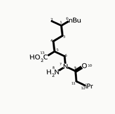 CCCCC(C)CCC(CN(N)C(=O)CC(C)C)C(=O)O